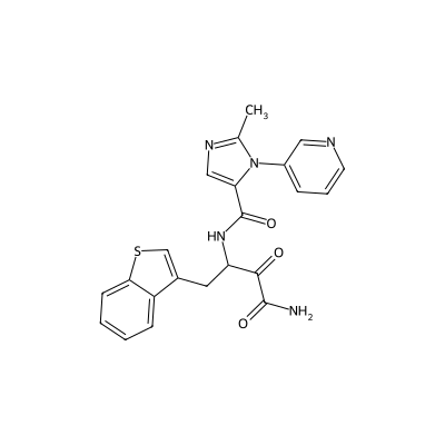 Cc1ncc(C(=O)NC(Cc2csc3ccccc23)C(=O)C(N)=O)n1-c1cccnc1